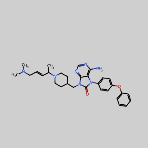 CC(/C=C/CN(C)C)N1CCC(Cn2c(=O)n(-c3ccc(Oc4ccccc4)cc3)c3c(N)ncnc32)CC1